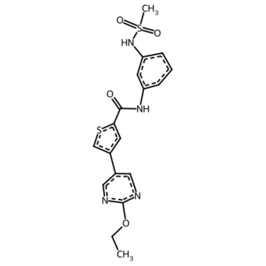 CCOc1ncc(-c2csc(C(=O)Nc3cccc(NS(C)(=O)=O)c3)c2)cn1